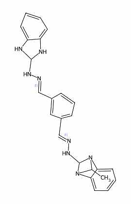 CC1N2c3ccccc3N1C2N/N=C/c1cccc(/C=N/NC2Nc3ccccc3N2)c1